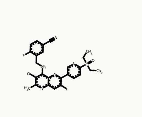 CCP(=O)(CC)c1ccc(-c2nc3c(NCc4cc(C#N)ccc4F)c(Cl)c(C)nc3cc2F)cn1